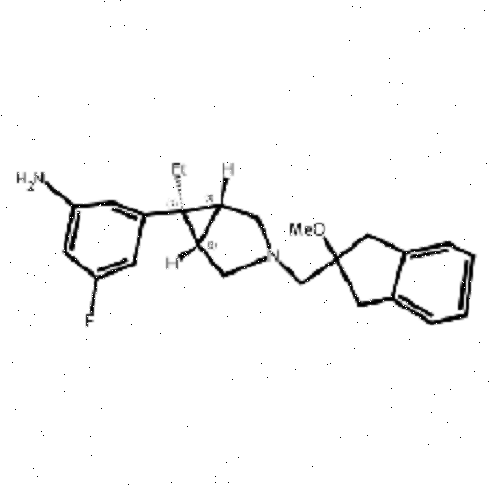 CC[C@]1(c2cc(N)cc(F)c2)[C@@H]2CN(CC3(OC)Cc4ccccc4C3)C[C@@H]21